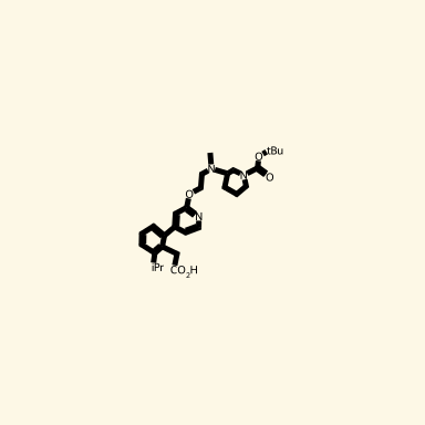 CC(C)c1cccc(-c2ccnc(OCCN(C)C3CCCN(C(=O)OC(C)(C)C)C3)c2)c1CC(=O)O